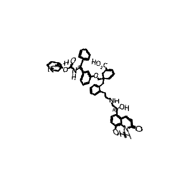 O=C(N[C@@H](c1ccccc1)c1cccc(OCC2(Cc3ccccc3CCNC[C@H](O)c3ccc(O)c4[nH]c(=O)ccc34)C=CC=C(C(=O)O)C2)c1)O[C@H]1CN2CCC1CC2